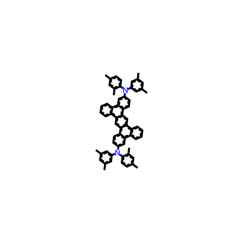 Cc1cc(C)cc(N(c2ccc3c(c2)c2ccccc2c2cc4c5ccc(N(c6cc(C)cc(C)c6)c6ccc(C)cc6C)cc5c5ccccc5c4cc32)c2ccc(C)cc2C)c1